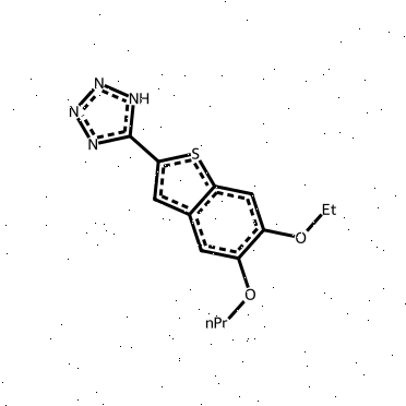 CCCOc1cc2cc(-c3nnn[nH]3)sc2cc1OCC